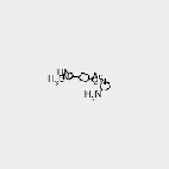 CC(=O)N1CCCC(N)C1COC1CCC(C2=CN(C)NC2)CC1